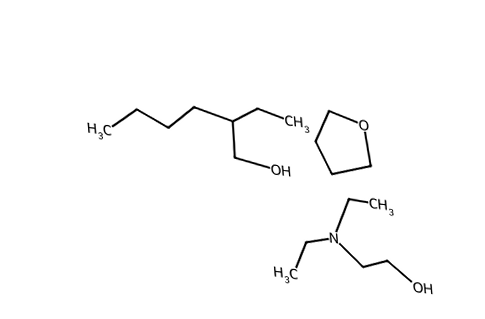 C1CCOC1.CCCCC(CC)CO.CCN(CC)CCO